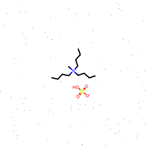 CCCC[N+](C)(CCCC)CCCC.O=S(=O)([O-])O